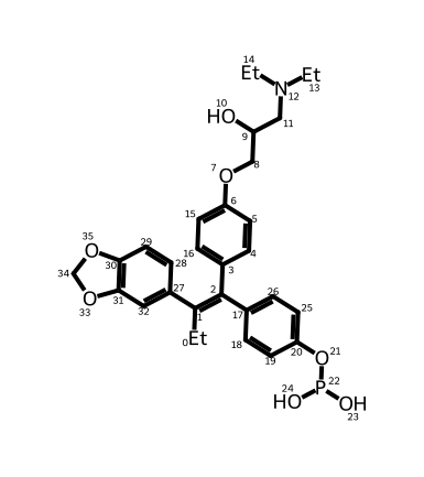 CC/C(=C(/c1ccc(OCC(O)CN(CC)CC)cc1)c1ccc(OP(O)O)cc1)c1ccc2c(c1)OCO2